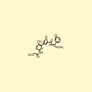 CC[C@H](COC(C)=O)Nc1ncc(C)c(-c2c[nH]c(C(=O)N[C@H](COC(C)=O)c3cccc(Cl)c3)c2)n1